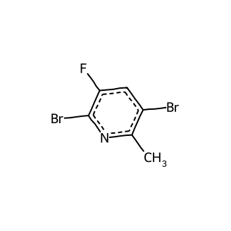 Cc1nc(Br)c(F)cc1Br